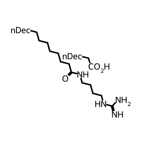 CCCCCCCCCCCC(=O)O.CCCCCCCCCCCCCCCCCC(=O)NCCCCNC(=N)N